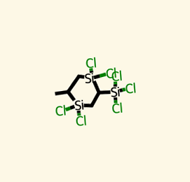 CC1C[Si](Cl)(Cl)C([Si](Cl)(Cl)Cl)C[Si]1(Cl)Cl